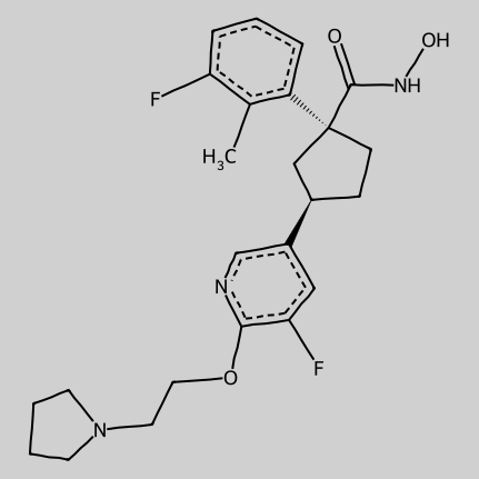 Cc1c(F)cccc1[C@]1(C(=O)NO)CC[C@@H](c2cnc(OCCN3CCCC3)c(F)c2)C1